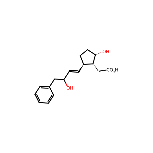 O=C(O)C[C@H]1[C@@H](O)CC[C@@H]1/C=C/C(O)Cc1ccccc1